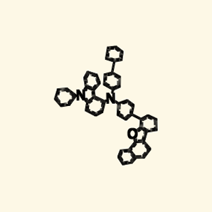 c1ccc(-c2ccc(N(c3ccc(-c4cccc5c4oc4c6ccccc6ccc54)cc3)c3cccc4c3c3ccccc3n4-c3ccccc3)cc2)cc1